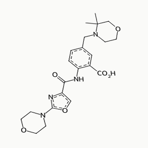 CC1(C)COCCN1Cc1ccc(NC(=O)c2coc(N3CCOCC3)n2)c(C(=O)O)c1